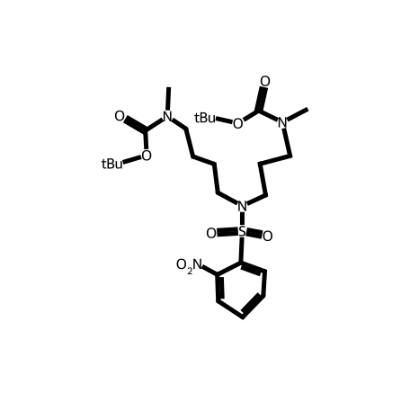 CN(CCCCN(CCCN(C)C(=O)OC(C)(C)C)S(=O)(=O)c1ccccc1[N+](=O)[O-])C(=O)OC(C)(C)C